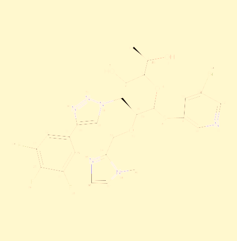 C[C@@H](O)C(CO)OC(Sc1cncc(Br)c1)[C@H](Cn1cc(-c2cc(F)c(F)c(F)c2)nn1)OCc1nccn1C